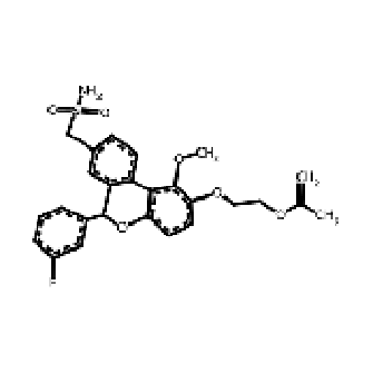 C=C(C)OCCOc1ccc2c(c1OC)-c1ccc(CS(N)(=O)=O)cc1C(c1cccc(F)c1)O2